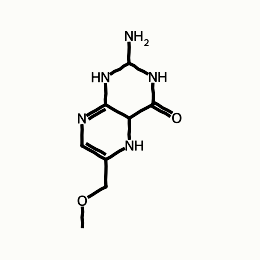 COCC1=CN=C2NC(N)NC(=O)C2N1